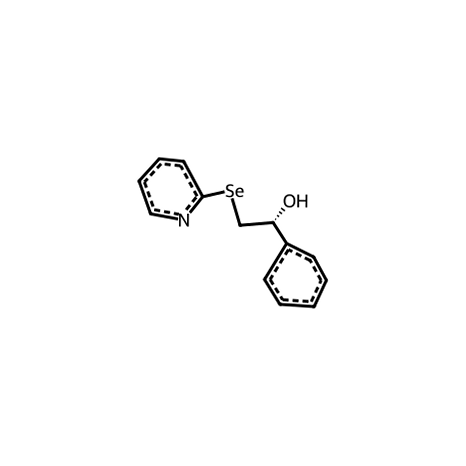 O[C@@H](C[Se]c1ccccn1)c1ccccc1